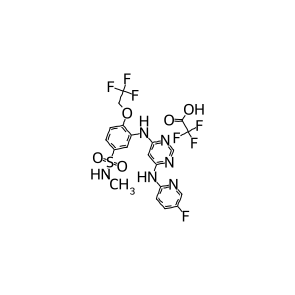 CNS(=O)(=O)c1ccc(OCC(F)(F)F)c(Nc2cc(Nc3ccc(F)cn3)ncn2)c1.O=C(O)C(F)(F)F